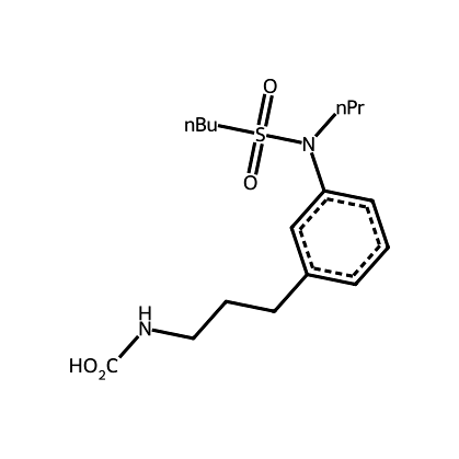 CCCCS(=O)(=O)N(CCC)c1cccc(CCCNC(=O)O)c1